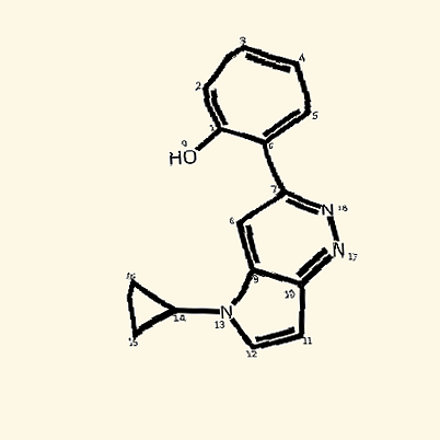 Oc1ccccc1-c1cc2c(ccn2C2CC2)nn1